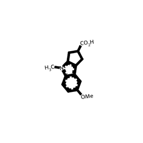 COc1ccc2c(c1)c1c(n2C)CC(C(=O)O)C1